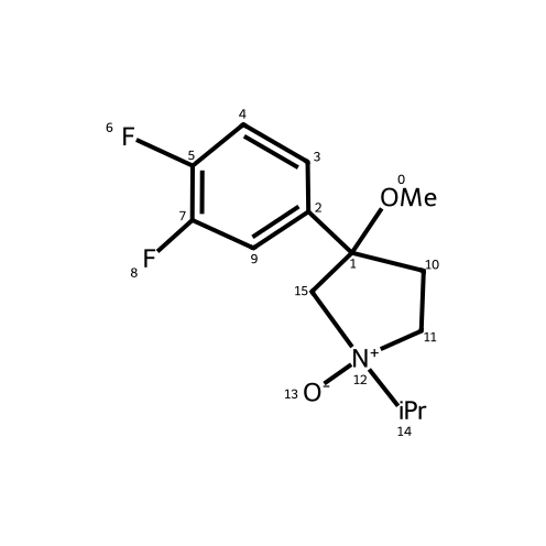 COC1(c2ccc(F)c(F)c2)CC[N+]([O-])(C(C)C)C1